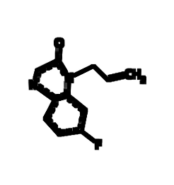 C=CCn1c(=O)cnc2ccc(F)cc21